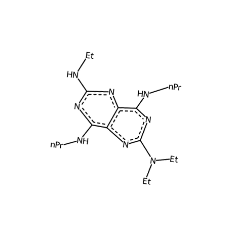 CCCNc1nc(N(CC)CC)nc2c(NCCC)nc(NCC)nc12